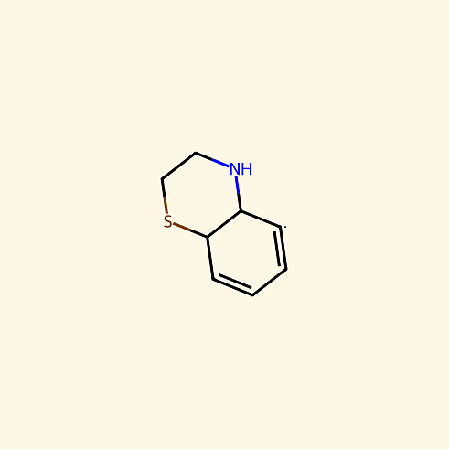 [C]1=CC=CC2SCCNC12